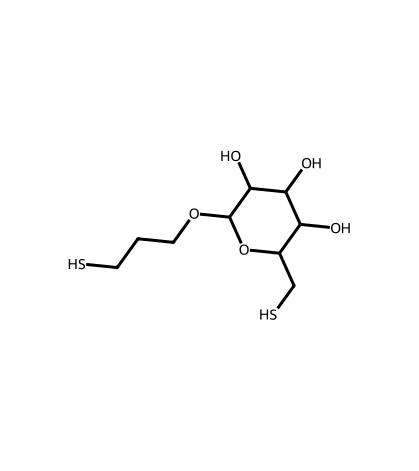 OC1C(CS)OC(OCCCS)C(O)C1O